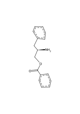 N[C@@H](COC(=O)c1ccccc1)Cc1ccccc1